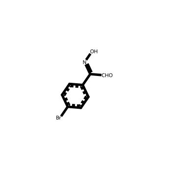 O=CC(=NO)c1ccc(Br)cc1